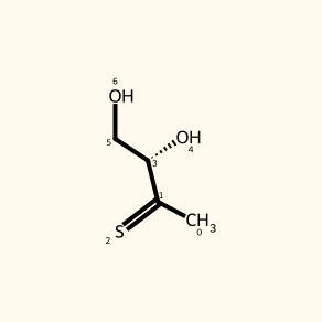 CC(=S)[C@@H](O)CO